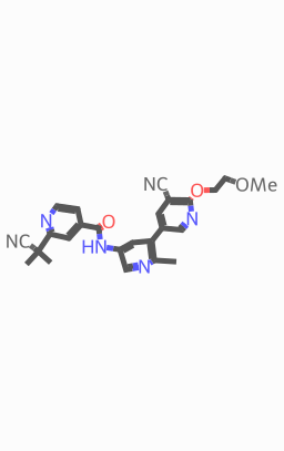 COCCOc1ncc(-c2cc(NC(=O)c3ccnc(C(C)(C)C#N)c3)cnc2C)cc1C#N